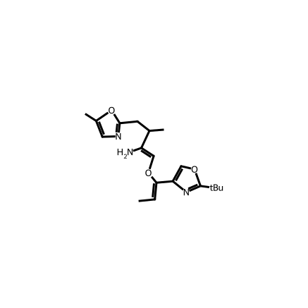 C/C=C(\O/C=C(\N)C(C)Cc1ncc(C)o1)c1coc(C(C)(C)C)n1